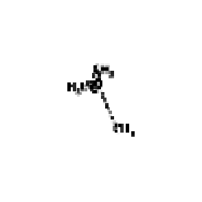 CCCCCCCCCCCCCCCCCC(=O)OC(c1ccc(C)cc1)c1ccc(C)cc1